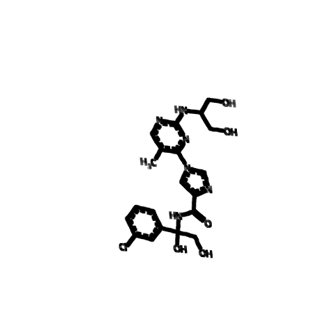 Cc1cnc(NC(CO)CO)nc1-n1cnc(C(=O)NC(O)(CO)c2cccc(Cl)c2)c1